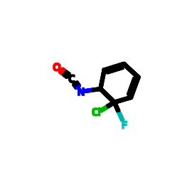 O=C=NC1C=CC=CC1(F)Cl